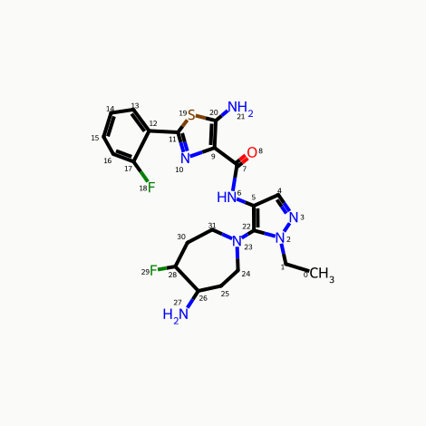 CCn1ncc(NC(=O)c2nc(-c3ccccc3F)sc2N)c1N1CCC(N)C(F)CC1